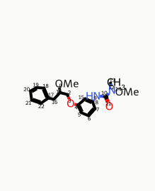 COC(COc1cccc(NC(=O)N(C)OC)c1)Cc1ccccc1